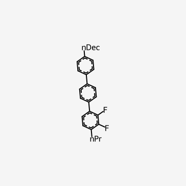 CCCCCCCCCCc1ccc(-c2ccc(-c3ccc(CCC)c(F)c3F)cc2)cc1